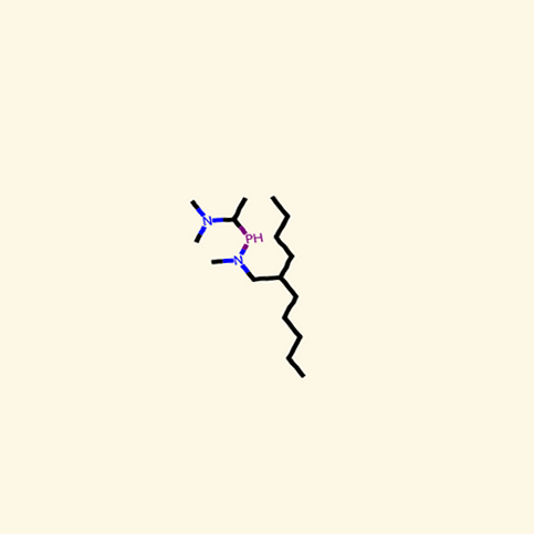 CCCCCC(CCCC)CN(C)PC(C)N(C)C